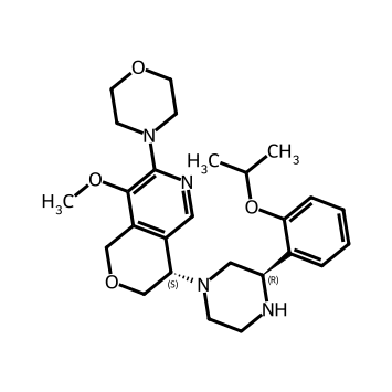 COc1c(N2CCOCC2)ncc2c1COC[C@H]2N1CCN[C@H](c2ccccc2OC(C)C)C1